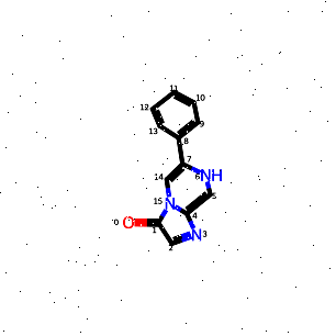 O=c1cnc2c[nH]c(-c3ccccc3)cn1-2